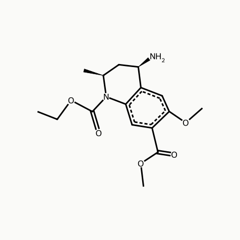 CCOC(=O)N1c2cc(C(=O)OC)c(OC)cc2[C@H](N)C[C@@H]1C